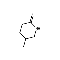 CC1CCC(=O)NC1